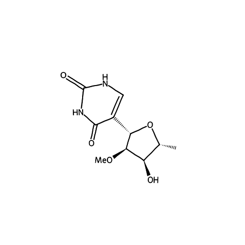 CO[C@@H]1[C@H](O)[C@@H](C)O[C@H]1c1c[nH]c(=O)[nH]c1=O